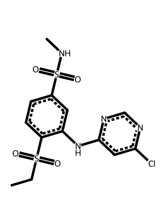 CCS(=O)(=O)c1ccc(S(=O)(=O)NC)cc1Nc1cc(Cl)ncn1